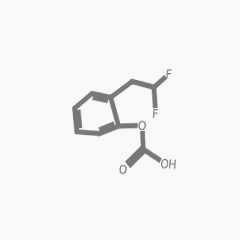 O=C(O)Oc1ccccc1CC(F)F